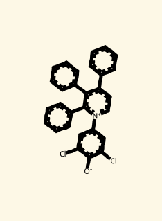 [O-]c1c(Cl)cc(-[n+]2ccc(-c3ccccc3)c(-c3ccccc3)c2-c2ccccc2)cc1Cl